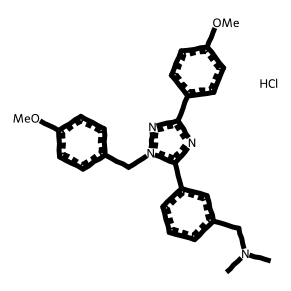 COc1ccc(Cn2nc(-c3ccc(OC)cc3)nc2-c2cccc(CN(C)C)c2)cc1.Cl